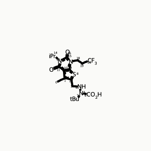 Cc1c(CNN(C(=O)O)C(C)(C)C)sc2c1c(=O)n(C(C)C)c(=O)n2CCC(F)(F)F